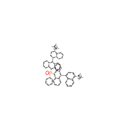 C[Si](C)(C)c1ccc(-c2c3ccccc3c(P(=O)(c3ccccc3)c3c4ccccc4c(-c4ccc([Si](C)(C)C)c5ccccc45)c4ccccc34)c3ccccc23)c2ccccc12